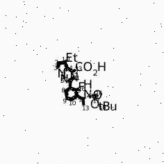 CCc1ccn2nc(-c3cccc(C(C)NC(=O)OC(C)(C)C)c3F)nc(C(=O)O)c12